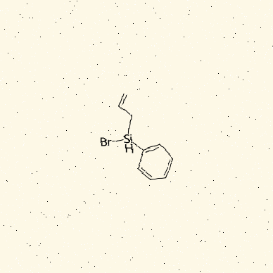 C=CC[SiH](Br)c1ccccc1